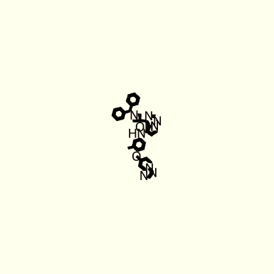 Cc1cc(Nc2ccn3ncnc(C4(O)CN(C(c5ccccc5)c5ccccc5)C4)c23)ccc1Oc1ccn2ncnc2c1